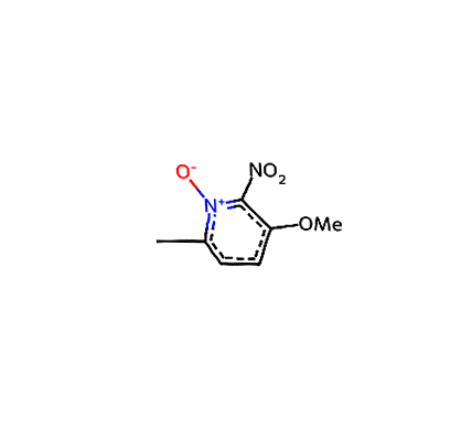 COc1ccc(C)[n+]([O-])c1[N+](=O)[O-]